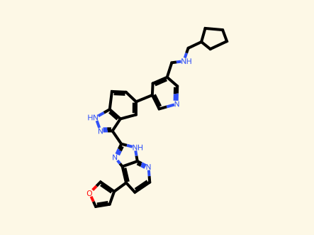 c1cc(-c2ccoc2)c2nc(-c3n[nH]c4ccc(-c5cncc(CNCC6CCCC6)c5)cc34)[nH]c2n1